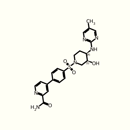 Cc1cnc(N[C@@H]2CCN(S(=O)(=O)c3ccc(-c4ccnc(C(N)=O)c4)cc3)C[C@@H]2O)nc1